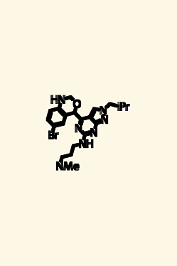 CNCCCNc1nc(C2OCNc3ccc(Br)cc32)c2cn(CC(C)C)nc2n1